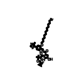 Cc1ncsc1-c1ccc(CNC(=O)[C@@H]2C[C@@H](O)CN2C(=O)C(NC(=O)C2(F)CC2)C(C)(C)C)c(OCCCCCCCCCCCCCBr)c1